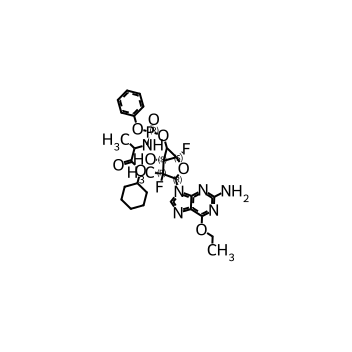 CCOc1nc(N)nc2c1ncn2[C@@H]1O[C@]2(F)C(O[P@](=O)(NC(C)C(=O)OC3CCCCC3)Oc3ccccc3)[C@]2(O)[C@@]1(C)F